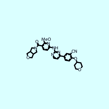 COc1nc(Nc2nccc(-c3ccc(OC4CCOCC4)c(C#N)c3)n2)ccc1C(=O)N1CC2COCC2C1